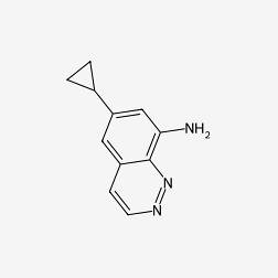 Nc1cc(C2CC2)cc2ccnnc12